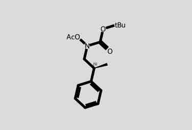 CC(=O)ON(C[C@@H](C)c1ccccc1)C(=O)OC(C)(C)C